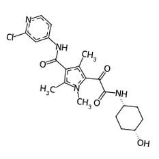 Cc1c(C(=O)Nc2ccnc(Cl)c2)c(C)n(C)c1C(=O)C(=O)N[C@H]1CC[C@@H](O)CC1